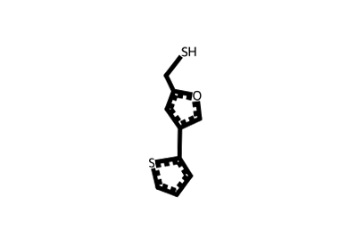 SCc1cc(-c2cccs2)co1